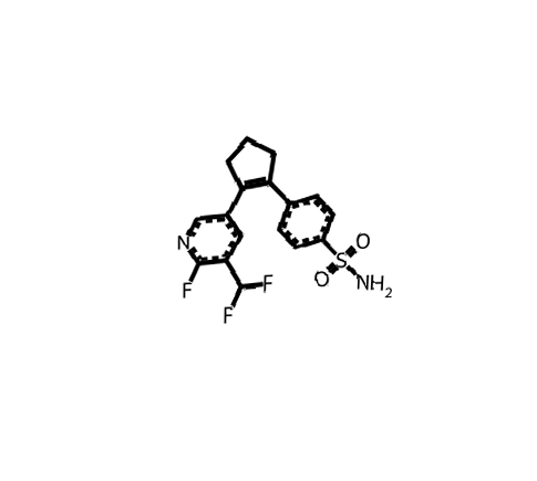 NS(=O)(=O)c1ccc(C2=C(c3cnc(F)c(C(F)F)c3)CCC2)cc1